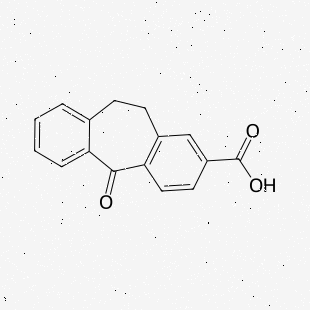 O=C(O)c1ccc2c(c1)CCc1ccccc1C2=O